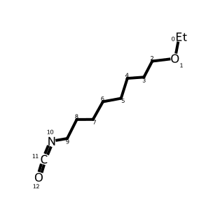 CCOCCCCCCCCN=C=O